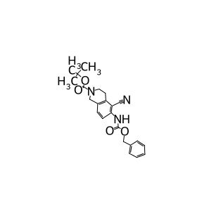 CC(C)(C)OC(=O)N1CCc2c(ccc(NC(=O)OCc3ccccc3)c2C#N)C1